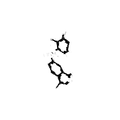 Cc1c[nH]c(=O)c2cc(NS(=O)(=O)c3cccc(Cl)c3Cl)ccc12